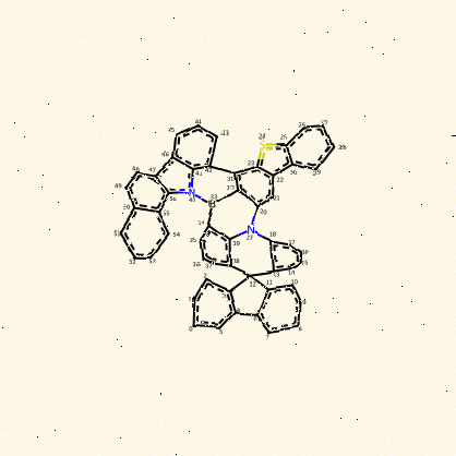 c1ccc2c(c1)-c1ccccc1C21c2ccccc2N2c3cc4c(sc5ccccc54)c4c3B(c3cccc1c32)n1c2c-4cccc2c2ccc3ccccc3c21